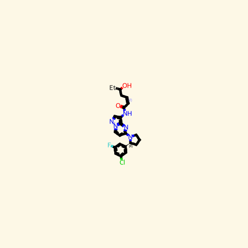 CCC(O)C/C=C\C(=O)Nc1cnn2ccc(N3CCC[C@@H]3c3cc(F)cc(Cl)c3)nc12